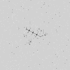 CC(C)(N)C(C)(C)C(C)(C)CN.I.I